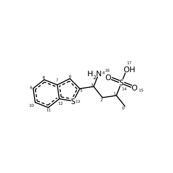 CC(CC(N)c1cc2ccccc2s1)S(=O)(=O)O